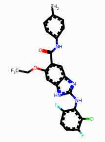 Bc1ccc(NC(=O)c2cc3nc(Nc4c(F)ccc(F)c4Cl)[nH]c3cc2OCC(F)(F)F)cc1